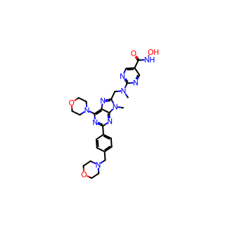 CN(Cc1nc2c(N3CCOCC3)nc(-c3ccc(CN4CCOCC4)cc3)nc2n1C)c1ncc(C(=O)NO)cn1